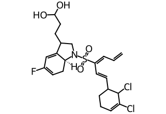 C=C/C=C(\C=C\C1CCC=C(Cl)C1Cl)S(=O)(=O)N1CC(CCC(O)O)C2=CC(F)=CC[C@@H]21